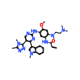 C=CC(=O)Nc1cc(Nc2ncc(-c3nnc(C)n3C)c(-c3cn(C)c4ccccc34)n2)c(OC)cc1N(C)CCN(C)C